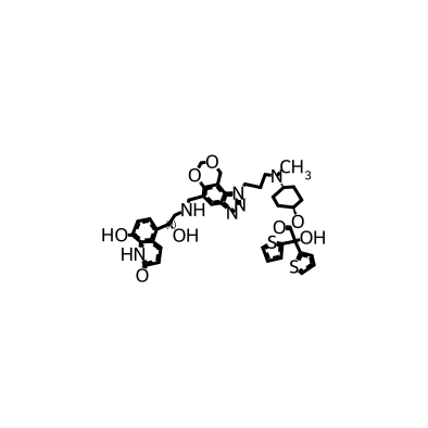 CN(CCCn1nnc2cc(CNC[C@H](O)c3ccc(O)c4[nH]c(=O)ccc34)c3c(c21)COCO3)[C@H]1CC[C@H](OC(=O)C(O)(c2cccs2)c2cccs2)CC1